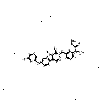 Cn1c2cc(Oc3cccc(F)n3)ccc2c2cnn(Cc3cccc(N(C(=O)OC(C)(C)C)C(C)(C)C)c3)c(=O)c21